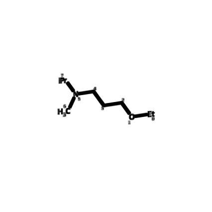 CCOCCCN(C)C(C)C